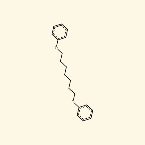 c1ccc(OCCCCCCCOc2ccccc2)cc1